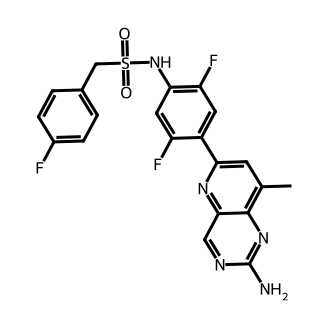 Cc1cc(-c2cc(F)c(NS(=O)(=O)Cc3ccc(F)cc3)cc2F)nc2cnc(N)nc12